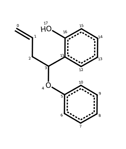 C=CCC(Oc1ccccc1)c1ccccc1O